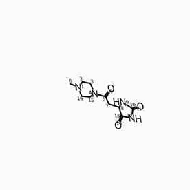 CN1CCN(C(=O)CC2NC(=O)NC2=O)CC1